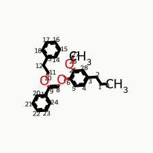 CCCc1ccc(OC=C(OCCc2ccccc2)c2ccccc2)c(OC)c1